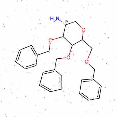 N[C@@H]1COC(COCc2ccccc2)C(OCc2ccccc2)C1OCc1ccccc1